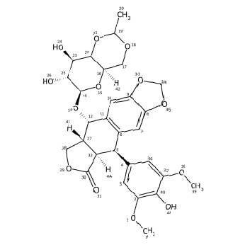 COc1cc([C@@H]2c3cc4c(cc3[C@@H](O[C@@H]3O[C@@H]5COC(C)OC5[C@H](O)[C@H]3O)[C@H]3COC(=O)[C@H]23)OCO4)cc(OC)c1O